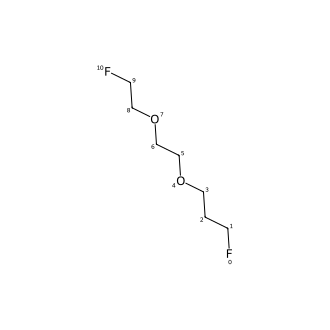 FCCCOCCOCCF